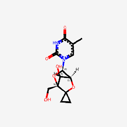 Cc1cn([C@@H]2O[C@]3(CO)[C@H](O)[C@@H]2OC32CC2)c(=O)[nH]c1=O